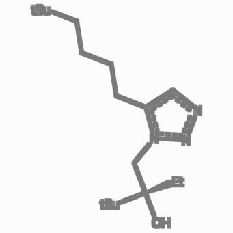 CC[C@](O)(Cn1nncc1CCCCC(C)(C)C)C(C)(C)C